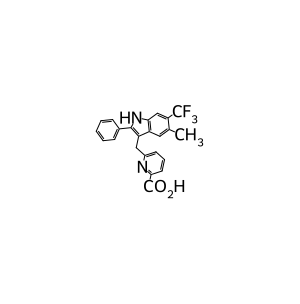 Cc1cc2c(Cc3cccc(C(=O)O)n3)c(-c3ccccc3)[nH]c2cc1C(F)(F)F